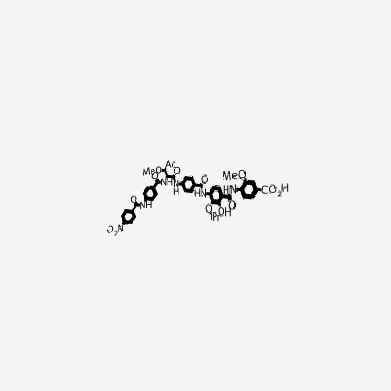 COc1cc(C(=O)O)ccc1NC(=O)c1ccc(NC(=O)c2ccc(NC(=O)C(NC(=O)c3ccc(NC(=O)c4ccc([N+](=O)[O-])cc4)cc3)C(OC)C(C)=O)cc2)c(OC(C)C)c1O